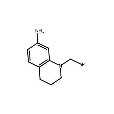 CC(C)CN1CCCc2ccc(N)cc21